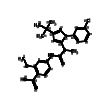 COc1cc(NC(=O)N(C)c2cc(C(C)(C)C)nn2-c2cccc(Cl)c2)ccc1C(=O)O